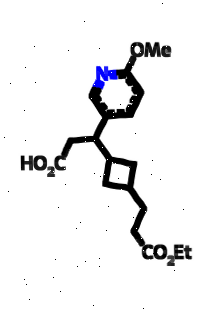 CCOC(=O)CCC1CC(C(CC(=O)O)c2ccc(OC)nc2)C1